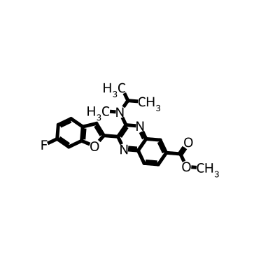 COC(=O)c1ccc2nc(-c3cc4ccc(F)cc4o3)c(N(C)C(C)C)nc2c1